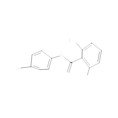 O=C(Nc1ccc(Br)cc1)c1c(O)cccc1O